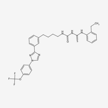 CCc1ccccc1NC(=S)NC(=O)NCCCCc1cccc(-c2ncn(-c3ccc(OC(F)(F)F)cc3)n2)c1